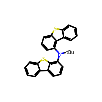 CC(C)(C)N(c1cccc2c1sc1ccccc12)c1cccc2sc3ccccc3c12